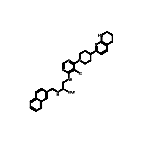 CCc1c(NC[C@H](NCc2ccc3ccccc3c2)C(=O)O)ncnc1N1CCC(c2ccc3c(n2)NCCC3)CC1